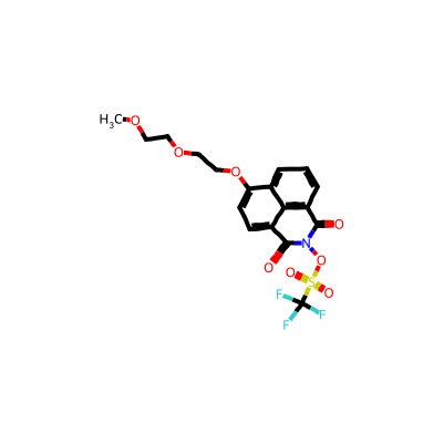 COCCOCCOc1ccc2c3c(cccc13)C(=O)N(OS(=O)(=O)C(F)(F)F)C2=O